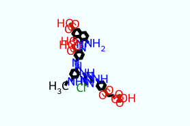 CCNc1ccc(/N=N/c2ccc(/N=N/c3c(N)ccc4cc(S(=O)(=O)O)cc(O)c34)c(S(=O)(=O)O)c2)c(Nc2nc(Cl)nc(Nc3ccc(S(=O)(=O)CCOS(=O)(=O)O)cc3)n2)c1